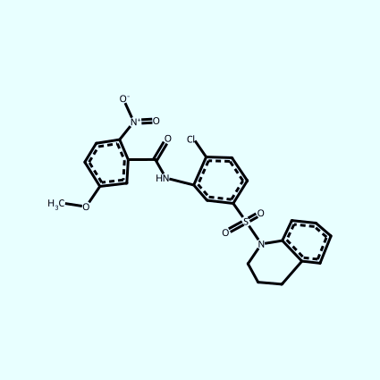 COc1ccc([N+](=O)[O-])c(C(=O)Nc2cc(S(=O)(=O)N3CCCc4ccccc43)ccc2Cl)c1